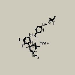 COC[C@]12C[C@H]1[C@@](C)(c1cc(NC(=O)c3cnc(OC[C@@H]4CC4(F)F)cn3)cc(F)c1F)N=C(N)S2